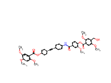 COc1cc(C(=O)Oc2ccc(C(=O)Nc3ccc(C#Cc4ccc(OC(=O)c5cc(OC)c(OC)cc5OC)cc4)cc3)cc2OC)c(OC)cc1CO